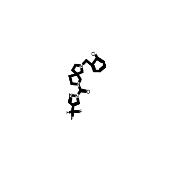 O=C(N1CCC2(CCN(Cc3ccccc3Cl)C2)C1)n1cc(C(F)(F)F)cn1